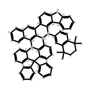 CC1(C)CCC(C)(C)c2cc(N3B4c5cccc6c5N(c5ccccc5C6(c5ccccc5)c5ccccc5)c5c4c(cc4ccccc54)-c4ccc5sc6ccccc6c5c43)ccc21